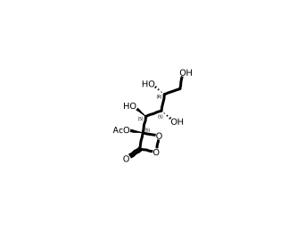 CC(=O)O[C@@]1([C@@H](O)[C@@H](O)[C@H](O)CO)OOC1=O